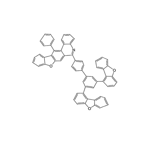 c1ccc(-c2c3c(cc4c(-c5ccc(-c6cc(-c7cccc8oc9ccccc9c78)cc(-c7cccc8oc9ccccc9c78)c6)cc5)nc5ccccc5c24)oc2ccccc23)cc1